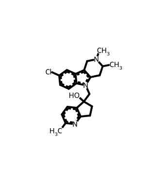 Cc1ccc2c(n1)CCC2(O)Cn1c2c(c3cc(Cl)ccc31)CN(C)C(C)C2